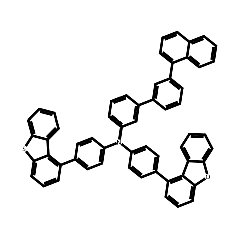 c1cc(-c2cccc(N(c3ccc(-c4cccc5oc6ccccc6c45)cc3)c3ccc(-c4cccc5sc6ccccc6c45)cc3)c2)cc(-c2cccc3ccccc23)c1